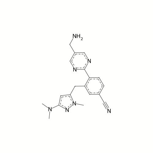 CN(C)c1cc(Cc2cc(C#N)ccc2-c2ncc(CN)cn2)n(C)n1